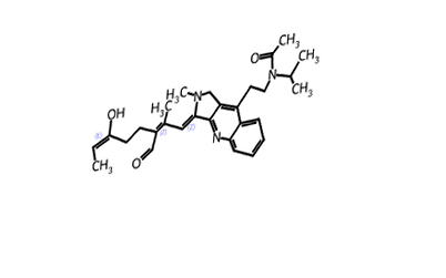 C/C=C(/O)CC/C(C=O)=C(C)/C=C1/c2nc3ccccc3c(CCN(C(C)=O)C(C)C)c2CN1C